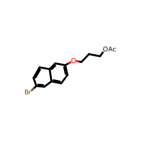 CC(=O)OCCCOc1ccc2cc(Br)ccc2c1